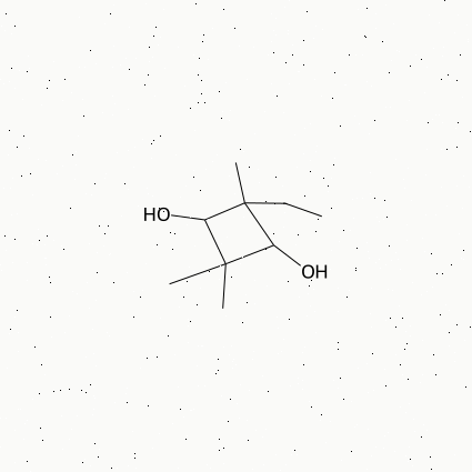 CCC1(C)C(O)C(C)(C)C1O